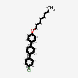 CCCCCCCCOc1ccc(-c2ccc(-c3ccc(Cl)cc3)cc2)cc1